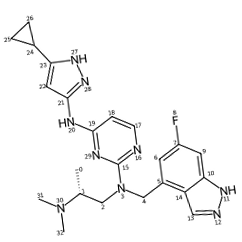 C[C@H](CN(Cc1cc(F)cc2[nH]ncc12)c1nccc(Nc2cc(C3CC3)[nH]n2)n1)N(C)C